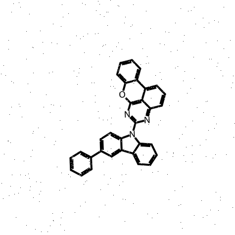 c1ccc(-c2ccc3c(c2)c2ccccc2n3-c2nc3c4c(cccc4n2)-c2ccccc2O3)cc1